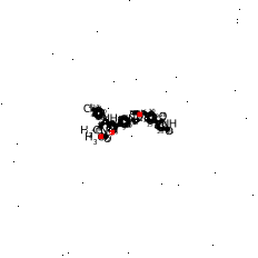 CC(=O)N1c2ccc(-c3ccc(N4CCN(Cc5ccc(C6CCC(=O)NC6=O)cc5)CC4)cc3)cc2C(Nc2ccc(Cl)cc2)CC1C